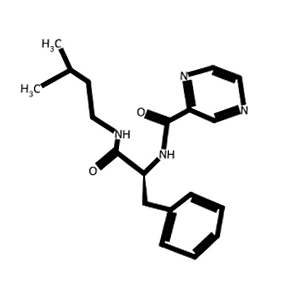 CC(C)CCNC(=O)[C@H](Cc1ccccc1)NC(=O)c1cnccn1